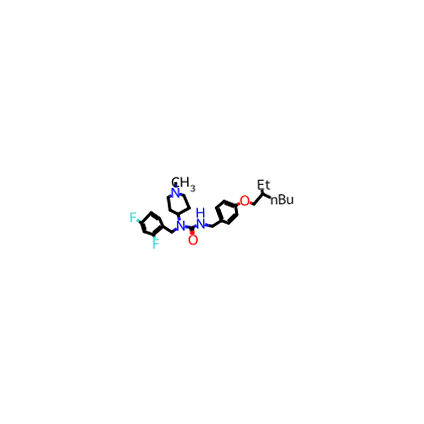 CCCCC(CC)COc1ccc(CNC(=O)N(Cc2ccc(F)cc2F)C2CCN(C)CC2)cc1